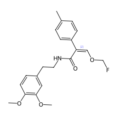 COc1ccc(CCNC(=O)/C(=C\OCF)c2ccc(C)cc2)cc1OC